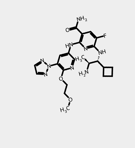 COCCOc1ncc(Nc2nc(N[C@H](C3CCC3)[C@H](C)N)c(F)cc2C(N)=O)cc1-n1nccn1